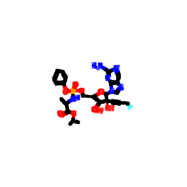 CC(C)OC(=O)C(C)NP(=O)(OC[C@H]1O[C@@H](n2cnc3cnc(N)nc32)[C@@](O)(C#CCF)C1O)Oc1ccccc1